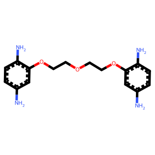 Nc1ccc(N)c(OCCOCCOc2cc(N)ccc2N)c1